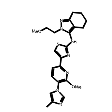 COCCn1nc2c(c1Nc1nc(-c3ccc(-n4cnc(C)c4)c(OC)n3)cs1)CCCC2